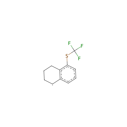 FC(F)(F)Sc1cccc2c1CCC[CH]2